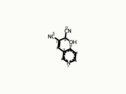 N#CC(=Cc1cccnc1)C(O)C#N